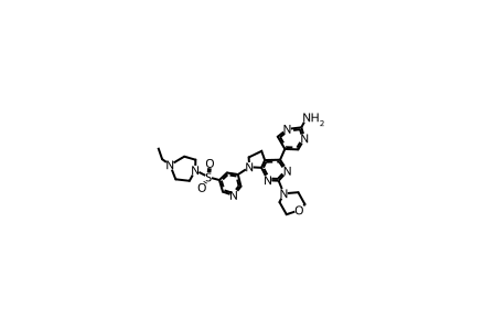 CCN1CCN(S(=O)(=O)c2cncc(N3CCc4c(-c5cnc(N)nc5)nc(N5CCOCC5)nc43)c2)CC1